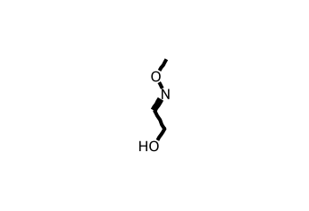 CO/N=C/CO